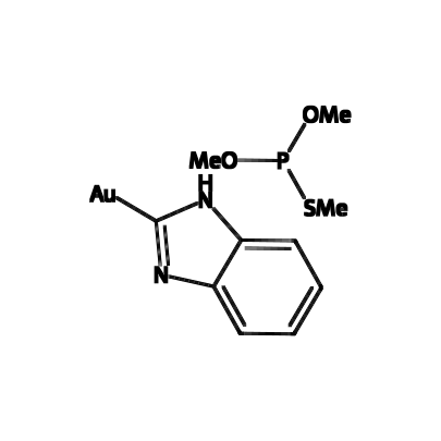 COP(OC)SC.[Au][c]1nc2ccccc2[nH]1